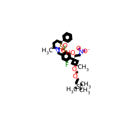 C[C@H]1CC[C@H](c2ccccc2)S(=O)(=O)N1Cc1cc(F)c([C@]2(C(O)C[N+](=O)[O-])C[C@](C)(OCOCC[Si](C)(C)C)C2)cc1F